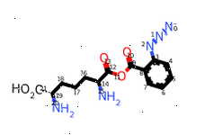 [N-]=[N+]=Nc1ccccc1C(=O)OC(=O)C(N)CCC[C@H](N)C(=O)O